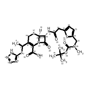 CC(Sc1nnn[nH]1)C1=C(C(=O)O)N2C(=O)[C@@H](NC(=O)Cc3ccc(CN(C)C(=O)OC(C)(C)C)s3)[C@@H]2SC1